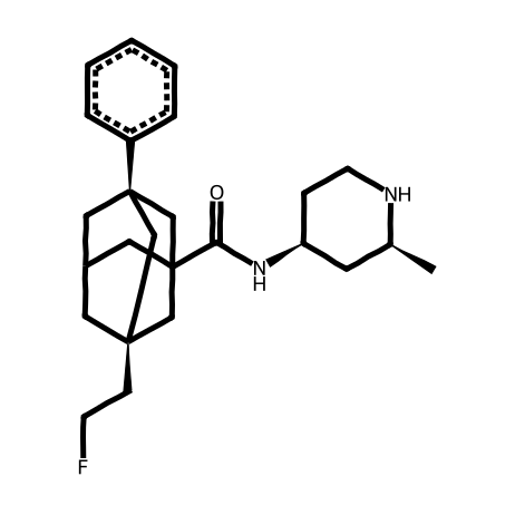 C[C@H]1C[C@@H](NC(=O)C23CC4C[C@@](CCF)(C2)C[C@](c2ccccc2)(C4)C3)CCN1